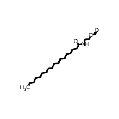 CCCCCCCCCCCCCCCCCC(=O)NCCOC=O